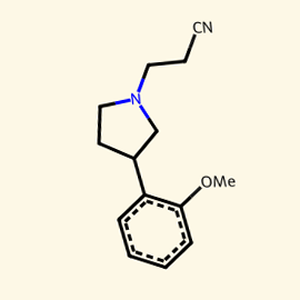 COc1ccccc1C1CCN(CCC#N)C1